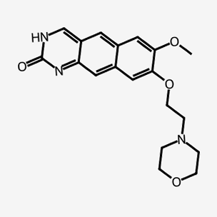 COc1cc2cc3c[nH]c(=O)nc3cc2cc1OCCN1CCOCC1